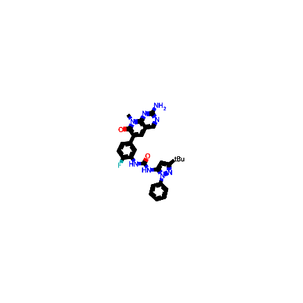 Cn1c(=O)c(-c2ccc(F)c(NC(=O)Nc3cc(C(C)(C)C)nn3-c3ccccc3)c2)cc2cnc(N)nc21